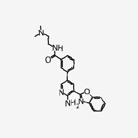 CN(C)CCNC(=O)c1cccc(-c2cnc(N)c(-c3nc4ccccc4o3)c2)c1